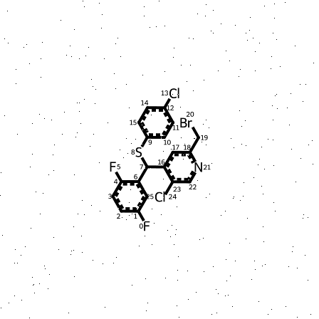 Fc1ccc(F)c(C(Sc2ccc(Cl)cc2)c2cc(CBr)ncc2Cl)c1